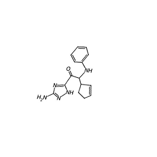 Nc1n[nH]c(C(=O)C(Nc2ccccc2)C2C=CCC2)n1